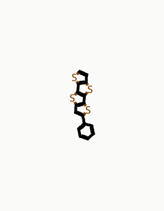 c1ccc(-c2cc3sc4c5sccc5sc4c3s2)cc1